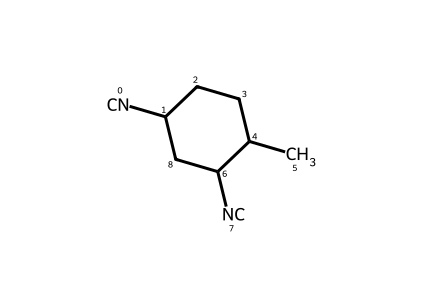 [C-]#[N+]C1CCC(C)C([N+]#[C-])C1